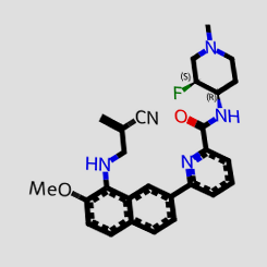 C=C(C#N)CNc1c(OC)ccc2ccc(-c3cccc(C(=O)N[C@@H]4CCN(C)C[C@@H]4F)n3)cc12